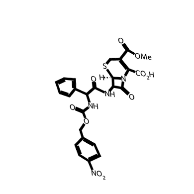 COC(=O)C1=C(C(=O)O)N2C(=O)C(NC(=O)C(NC(=O)OCc3ccc([N+](=O)[O-])cc3)c3ccccc3)[C@H]2SC1